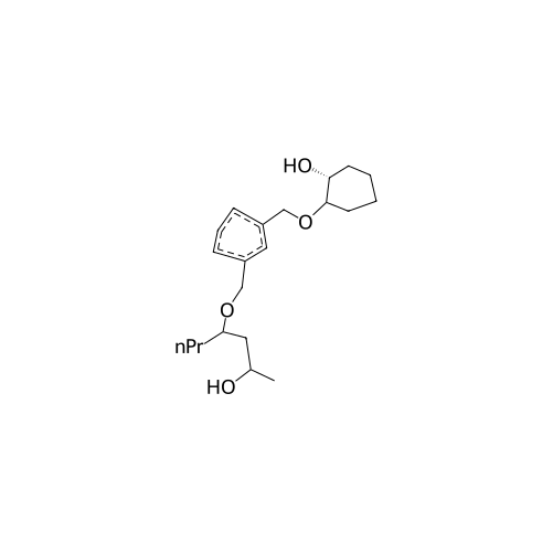 CCCC(CC(C)O)OCc1cccc(COC2CCCC[C@H]2O)c1